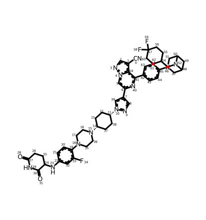 N#Cc1cnn2cc(-c3cnn([C@H]4CC[C@@H](N5CCN(c6ccc(NC7CCC(=O)NC7=O)cc6F)CC5)CC4)c3)nc(-c3ccc(N4CC5CC(C4)N5CC4CCC(F)(F)CC4)nc3)c12